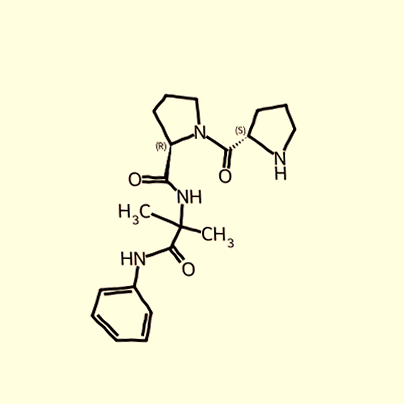 CC(C)(NC(=O)[C@H]1CCCN1C(=O)[C@@H]1CCCN1)C(=O)Nc1ccccc1